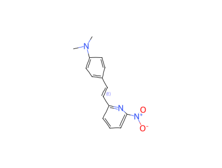 CN(C)c1ccc(/C=C/c2cccc([N+](=O)[O-])n2)cc1